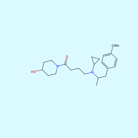 COc1ccc(CC(C)N(CCCC(=O)N2CCC(O)CC2)C2CC2)cc1